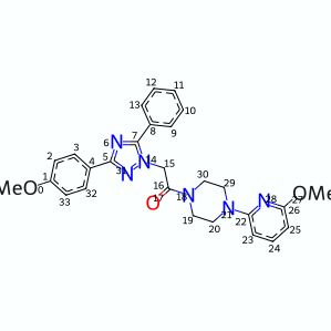 COc1ccc(-c2nc(-c3ccccc3)n(CC(=O)N3CCN(c4cccc(OC)n4)CC3)n2)cc1